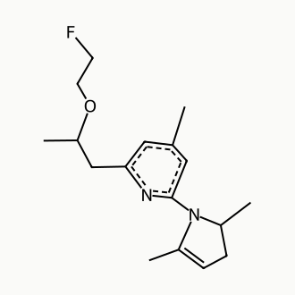 CC1=CCC(C)N1c1cc(C)cc(CC(C)OCCF)n1